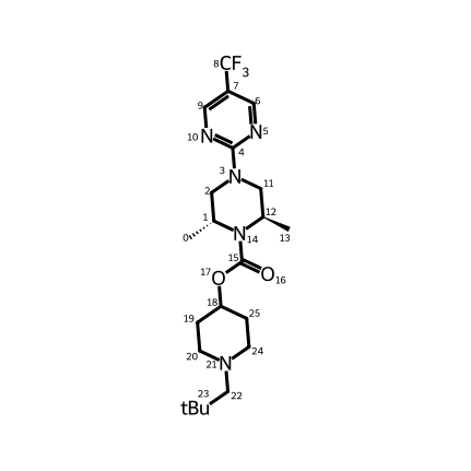 C[C@@H]1CN(c2ncc(C(F)(F)F)cn2)C[C@@H](C)N1C(=O)OC1CCN(CC(C)(C)C)CC1